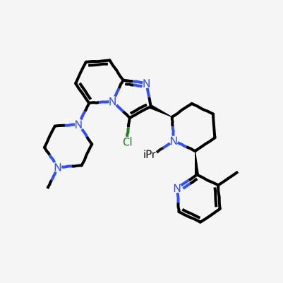 Cc1cccnc1[C@@H]1CCC[C@H](c2nc3cccc(N4CCN(C)CC4)n3c2Cl)N1C(C)C